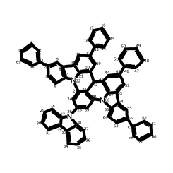 c1ccc(-c2ccc3c(c2)c2cc(-c4ccccc4)cc4c2n3-c2cc(-n3c5ccccc5c5ccccc53)cc3c2C4c2cc(-c4ccccc4)cc4c5cc(-c6ccccc6)ccc5n-3c24)cc1